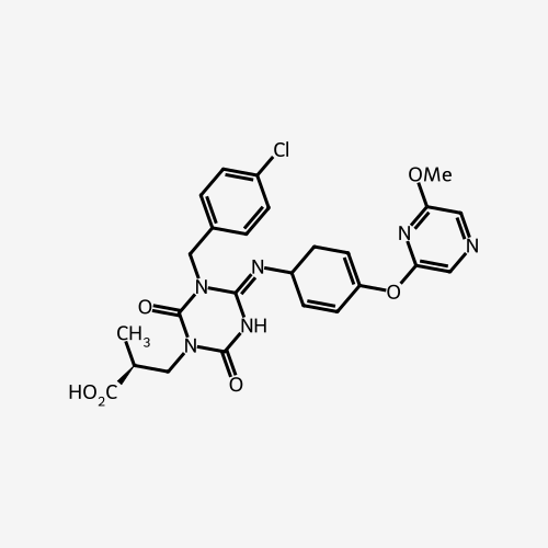 COc1cncc(OC2=CCC(/N=c3\[nH]c(=O)n(C[C@H](C)C(=O)O)c(=O)n3Cc3ccc(Cl)cc3)C=C2)n1